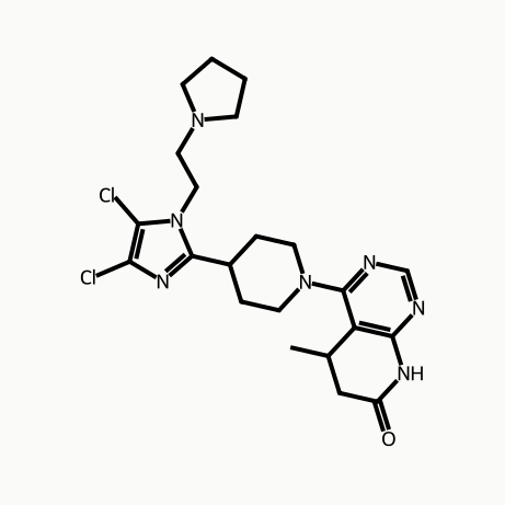 CC1CC(=O)Nc2ncnc(N3CCC(c4nc(Cl)c(Cl)n4CCN4CCCC4)CC3)c21